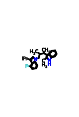 Cc1[nH]c2ccccc2c1C(C)C(C)Cn1cc(C(C)C)c2c(F)cccc21